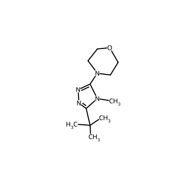 Cn1c(N2CCOCC2)nnc1C(C)(C)C